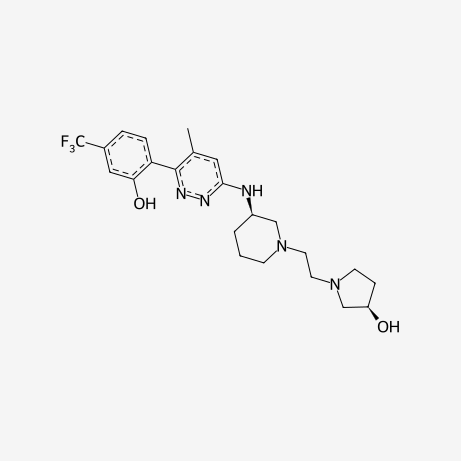 Cc1cc(N[C@@H]2CCCN(CCN3CC[C@@H](O)C3)C2)nnc1-c1ccc(C(F)(F)F)cc1O